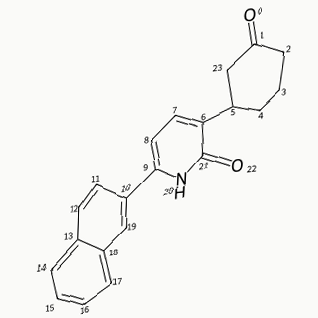 O=C1CCCC(c2ccc(-c3ccc4ccccc4c3)[nH]c2=O)C1